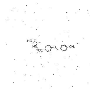 CC(N[C@@H]1C[C@H]1c1ccc(OCc2ccc(C#N)cc2)cc1)C(=O)O